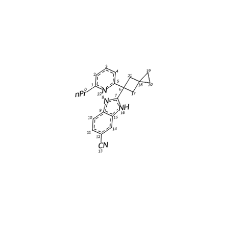 CCCc1cccc(C2(c3nc4ccc(C#N)cc4[nH]3)CC3(CC3)C2)n1